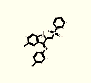 Cc1ccc(/N=C2/C(=C/S(=O)(=O)c3ccccc3)Nc3ccc(C)cc32)cc1